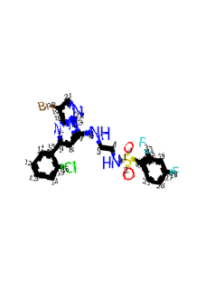 O=S(=O)(NCCNc1cc(-c2ccccc2Cl)nc2c(Br)cnn12)c1ccc(F)cc1F